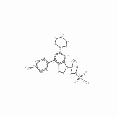 CC1(N2CCc3c(-c4cnc(N)nc4)nc(N4CCOCC4)nc32)CN(S(C)(=O)=O)C1